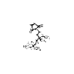 CCC(C)(C)OOC(C)(CCN1C(=O)C=CC1=O)OC